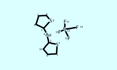 C1CS[CH]([Au][CH]2CCCS2)C1.F[B-](F)(F)F